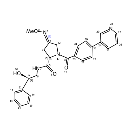 CO/N=C1\C[C@@H](C(=O)NC[C@H](O)c2ccccc2)N(C(=O)c2ccc(-c3cccnc3)cc2)C1